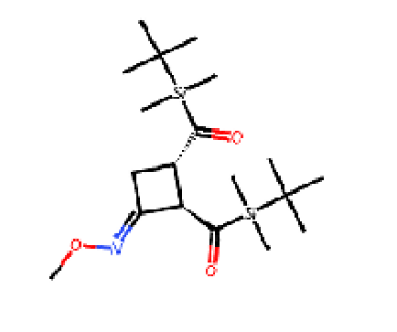 CON=C1C[C@H](C(=O)[Si](C)(C)C(C)(C)C)[C@H]1C(=O)[Si](C)(C)C(C)(C)C